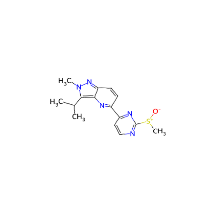 CC(C)c1c2nc(-c3ccnc([S+](C)[O-])n3)ccc2nn1C